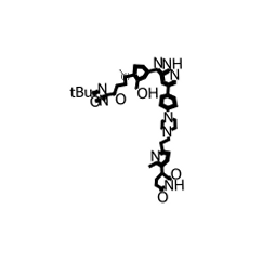 Cc1nc(CCN2CCN(c3ccc(-c4cnc5[nH]nc(-c6ccc([C@@H](C)CCC(=O)c7noc(C(C)(C)C)n7)c(CO)c6)c5c4)cc3)CC2)ccc1C1CCC(=O)NC1=O